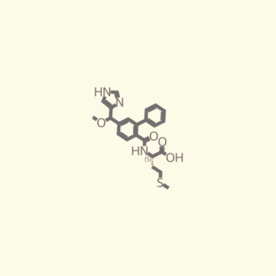 COC(c1ccc(C(=O)N[C@@H](CCSC)C(=O)O)c(-c2ccccc2)c1)c1c[nH]cn1